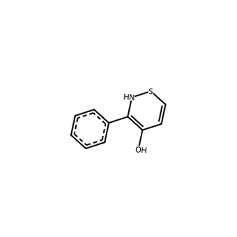 OC1=C(c2ccccc2)NSC=C1